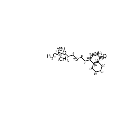 CC(C)(C)[Si](C)(C)OCCSCCc1n[nH]c(=O)c2c1CCCC2